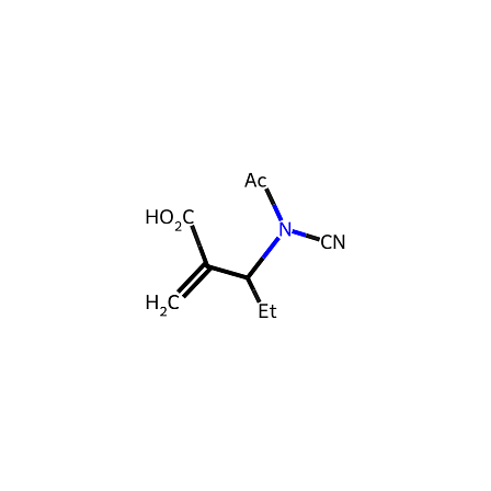 C=C(C(=O)O)C(CC)N(C#N)C(C)=O